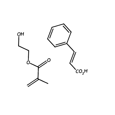 C=C(C)C(=O)OCCO.O=C(O)C=Cc1ccccc1